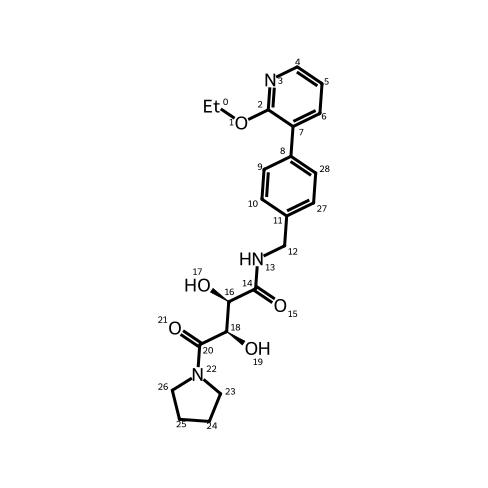 CCOc1ncccc1-c1ccc(CNC(=O)[C@H](O)[C@@H](O)C(=O)N2CCCC2)cc1